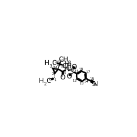 C=C[C@@H]1C[C@@]1(C(=O)NS(=O)(=O)c1ccc(C#N)cc1)C(C)(C)C